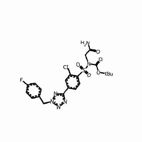 CC(C)(C)OC(=O)N(CC(N)=O)S(=O)(=O)c1ccc(-c2nnn(Cc3ccc(F)cc3)n2)cc1Cl